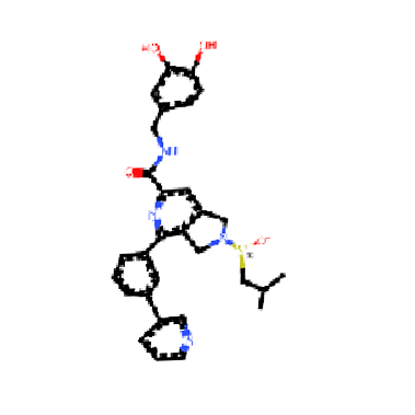 CC(C)C[S@@+]([O-])N1Cc2cc(C(=O)NCc3ccc(O)c(O)c3)nc(-c3cccc(-c4cccnc4)c3)c2C1